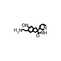 NCCc1cc2c(cc1N=O)CC1(C2)C(=O)Nc2ncccc21